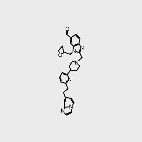 O=Cc1ccc2nc(CN3CCC(c4cccc(CCc5ccn6ccnc6c5)n4)CC3)n(CC3CCO3)c2c1